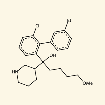 CCc1cccc(-c2c(Cl)cccc2C(O)(CCCCOC)C2CCCNC2)c1